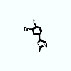 Cc1ncc(-c2ccc(F)c(Br)c2)s1